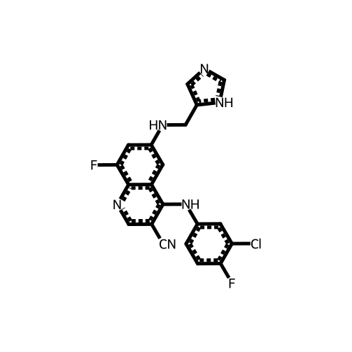 N#Cc1cnc2c(F)cc(NCc3cnc[nH]3)cc2c1Nc1ccc(F)c(Cl)c1